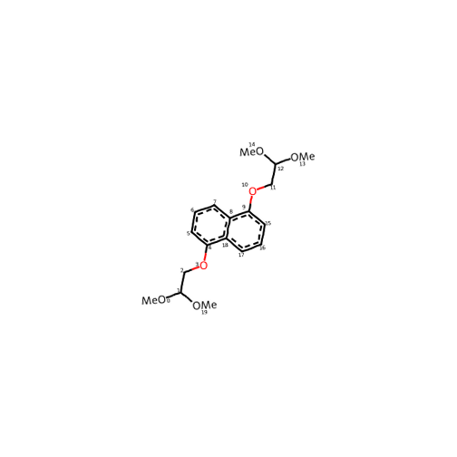 COC(COc1cccc2c(OCC(OC)OC)cccc12)OC